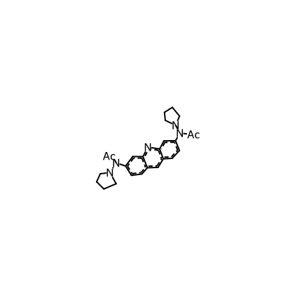 CC(=O)N(c1ccc2cc3ccc(N(C(C)=O)N4CCCC4)cc3nc2c1)N1CCCC1